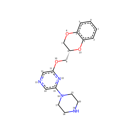 c1ccc2c(c1)OC[C@@H](COc1cncc(N3CCNCC3)n1)O2